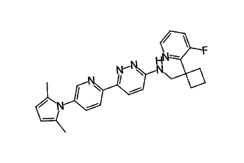 Cc1ccc(C)n1-c1ccc(-c2ccc(NCC3(c4ncccc4F)CCC3)nn2)nc1